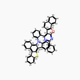 c1ccc(-c2nc(-c3ccccc3-n3c4ccccc4c4c5sc6ccccc6c5c5ccccc5c43)c3c(n2)oc2c4ccccc4ccc23)cc1